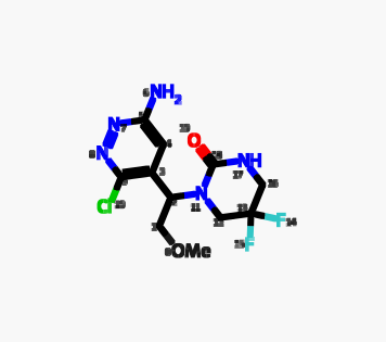 COCC(c1cc(N)nnc1Cl)N1CC(F)(F)CNC1=O